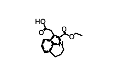 CCOC(=O)c1c(CC(=O)O)c2cccc3c2n1CCC3